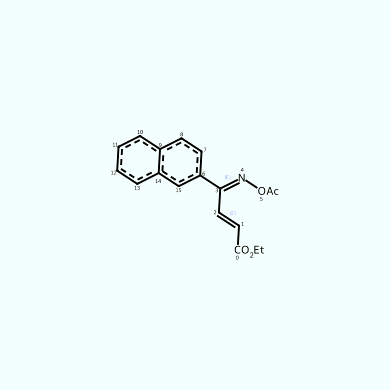 CCOC(=O)/C=C/C(=N\OC(C)=O)c1ccc2ccccc2c1